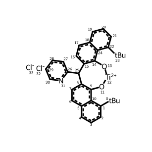 CC(C)(C)c1cccc2ccc3c(c12)[O][Ti+2][O]c1c(ccc2cccc(C(C)(C)C)c12)C3c1ccccn1.[Cl-].[Cl-]